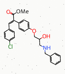 COC(=O)C(=Cc1ccc(Cl)cc1)c1ccc(OCC(O)CNCc2ccccc2)cc1